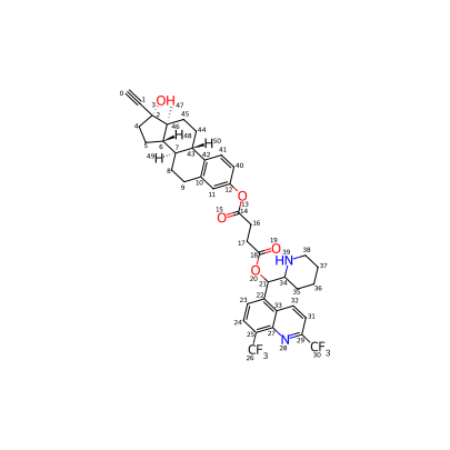 C#C[C@]1(O)CC[C@H]2[C@@H]3CCc4cc(OC(=O)CCC(=O)OC(c5ccc(C(F)(F)F)c6nc(C(F)(F)F)ccc56)C5CCCCN5)ccc4[C@H]3CC[C@@]21C